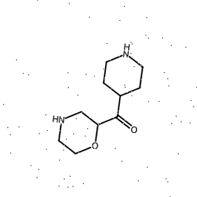 O=C(C1CCNCC1)C1CNCCO1